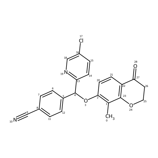 Cc1c(OC(c2ccc(C#N)cc2)c2ccc(Cl)cn2)ccc2c1OCCC2=O